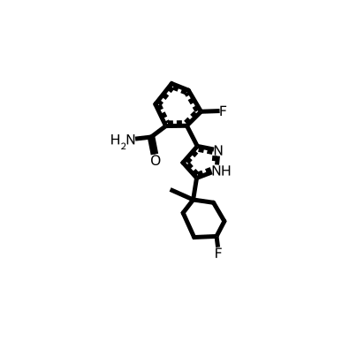 CC1(c2cc(-c3c(F)cccc3C(N)=O)n[nH]2)CCC(F)CC1